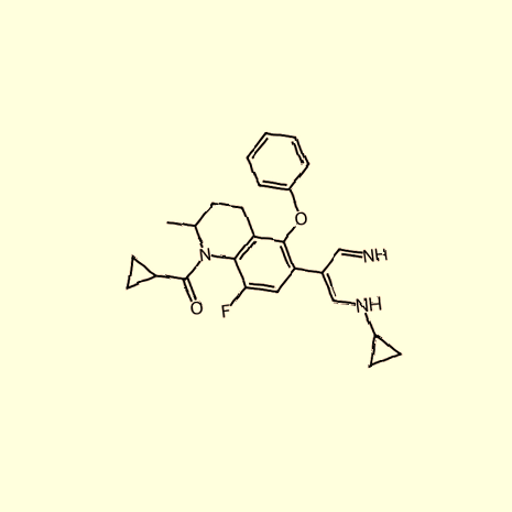 CC1CCc2c(Oc3ccccc3)c(/C(C=N)=C/NC3CC3)cc(F)c2N1C(=O)C1CC1